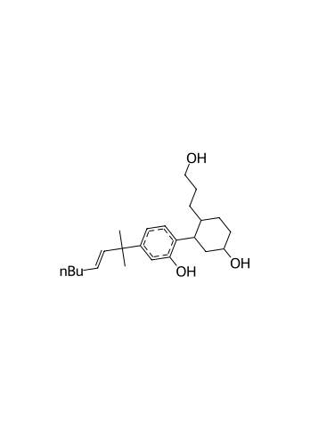 CCCCC=CC(C)(C)c1ccc(C2CC(O)CCC2CCCO)c(O)c1